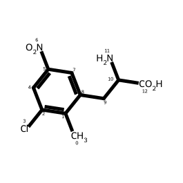 Cc1c(Cl)cc([N+](=O)[O-])cc1CC(N)C(=O)O